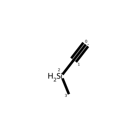 [C]#C[SiH2]C